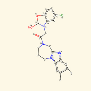 Cc1cc2nc3n(c2cc1C)CCCN(C(=O)CN1c2cc(Cl)ccc2OC1O)C3